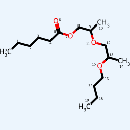 CCCCCC(=O)OCC(C)OCC(C)OCCCC